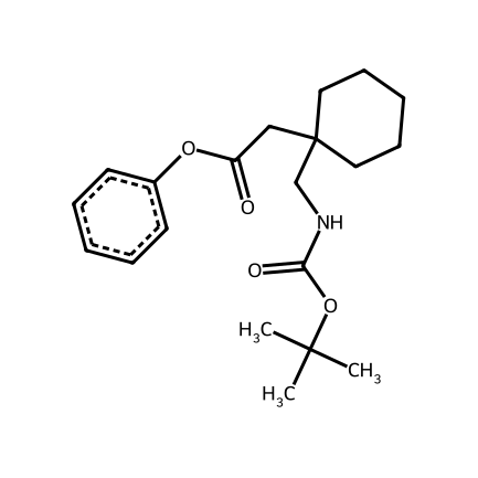 CC(C)(C)OC(=O)NCC1(CC(=O)Oc2ccccc2)CCCCC1